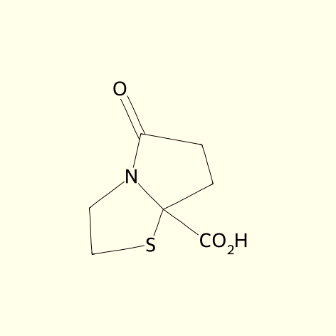 O=C1CCC2(C(=O)O)SCCN12